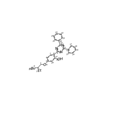 CCCCC(CC)COc1ccc(-c2nc(-c3ccccc3)nc(-c3ccccc3)n2)c(O)c1